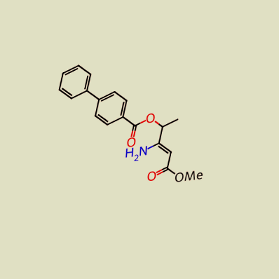 COC(=O)C=C(N)C(C)OC(=O)c1ccc(-c2ccccc2)cc1